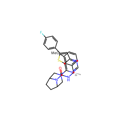 COc1cccc([C@H](C)NC(=O)N2C3CCC2CN(c2ncnc4cc(-c5ccc(F)cc5)sc24)C3)c1